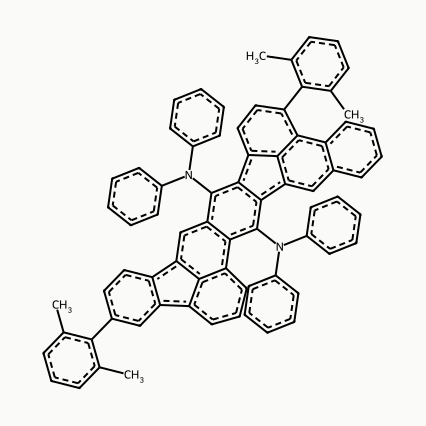 Cc1cccc(C)c1-c1ccc2c(c1)c1cccc3c4c(N(c5ccccc5)c5ccccc5)c5c6cc7ccccc7c7c(-c8c(C)cccc8C)ccc(c5c(N(c5ccccc5)c5ccccc5)c4cc2c13)c67